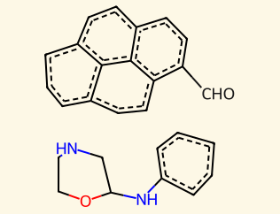 O=Cc1ccc2ccc3cccc4ccc1c2c34.c1ccc(NC2CNCCO2)cc1